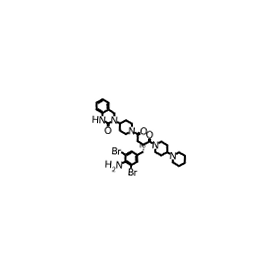 Nc1c(Br)cc(C[C@H](CC(=O)N2CCC(N3Cc4ccccc4NC3=O)CC2)C(=O)N2CCC(N3CCCCC3)CC2)cc1Br